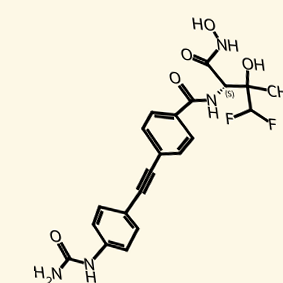 CC(O)(C(F)F)[C@H](NC(=O)c1ccc(C#Cc2ccc(NC(N)=O)cc2)cc1)C(=O)NO